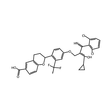 N=C(/C(COc1ccc(C2CCc3cc(C(=O)O)ccc3O2)c(C(F)(F)F)c1)=C(\O)C1CC1)c1c(Cl)cccc1Cl